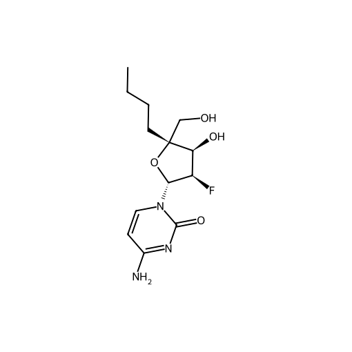 CCCC[C@]1(CO)O[C@@H](n2ccc(N)nc2=O)[C@H](F)[C@@H]1O